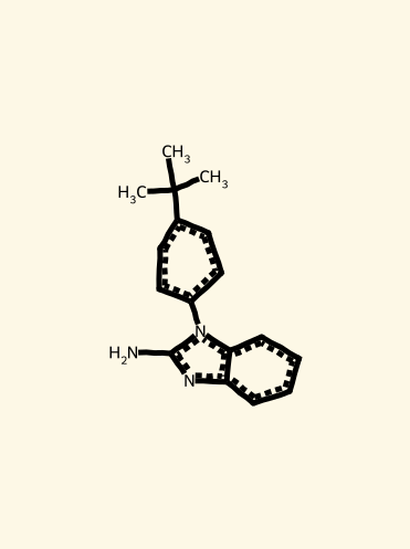 CC(C)(C)c1ccc(-n2c(N)nc3ccccc32)cc1